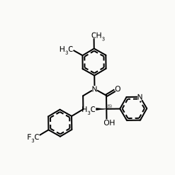 Cc1ccc(N(CCc2ccc(C(F)(F)F)cc2)C(=O)[C@@](C)(O)c2cccnc2)cc1C